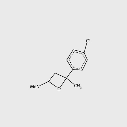 CNC1CC(C)(c2ccc(Cl)cc2)O1